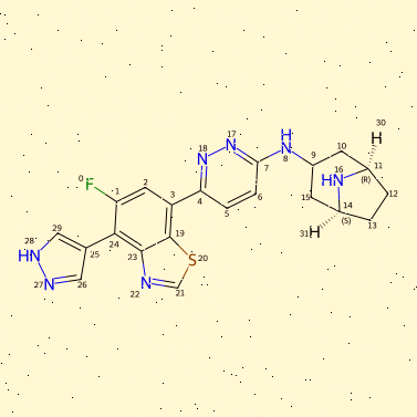 Fc1cc(-c2ccc(NC3C[C@H]4CC[C@@H](C3)N4)nn2)c2scnc2c1-c1cn[nH]c1